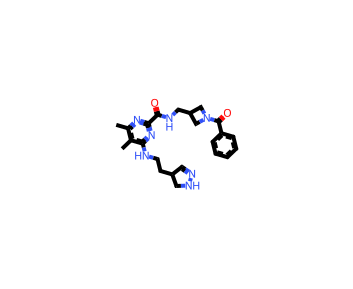 Cc1nc(C(=O)NCC2CN(C(=O)c3ccccc3)C2)nc(NCCC2C=NNC2)c1C